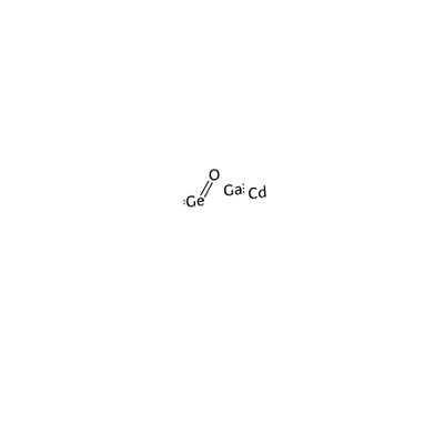 [Cd].[Ga].[O]=[Ge]